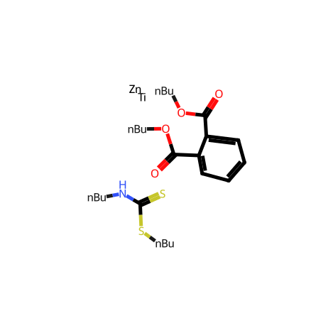 CCCCNC(=S)SCCCC.CCCCOC(=O)c1ccccc1C(=O)OCCCC.[Ti].[Zn]